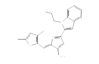 COC1=CC(c2cc3ccccc3n2CCO)=NC1=Cc1[nH]c(C)cc1C